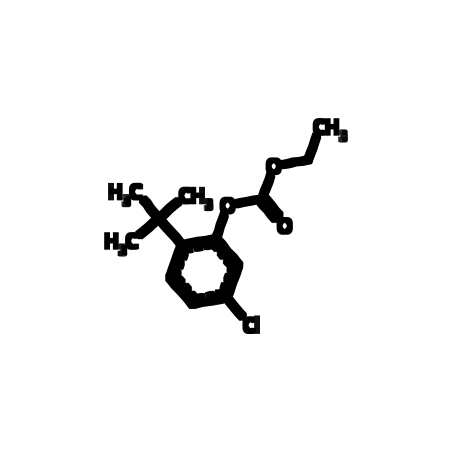 CCOC(=O)Oc1cc(Cl)ccc1C(C)(C)C